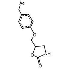 CC(=O)Cc1ccc(OCC2CNC(=O)O2)cc1